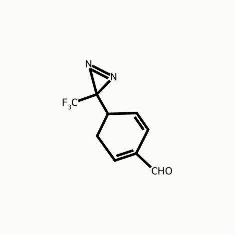 O=CC1=CCC(C2(C(F)(F)F)N=N2)C=C1